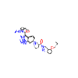 CNC(=O)c1n[nH]c2cc(N3CCCC(C(=O)NCc4ccccc4OCC4CC4)C3)ccc12